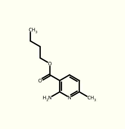 CCCCOC(=O)c1ccc(C)nc1N